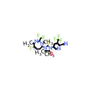 C=C1/N=C(/C(F)F)N(C)C(N2C(=S)N(c3cnc(C#N)c(C(F)(F)F)c3)C(=O)C2(C)C)C/C=C\1F